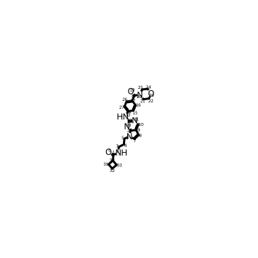 O=C(NCCCn1ccc2cnc(Nc3ccc(C(=O)N4CCOCC4)cc3)nc21)C1CCC1